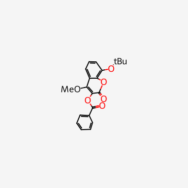 COc1c(OC(=O)c2ccccc2)c(=O)oc2c(OC(C)(C)C)cccc12